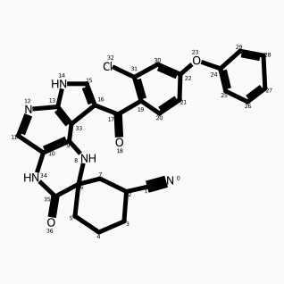 N#CC1CCCC2(C1)Nc1c(cnc3[nH]cc(C(=O)c4ccc(Oc5ccccc5)cc4Cl)c13)NC2=O